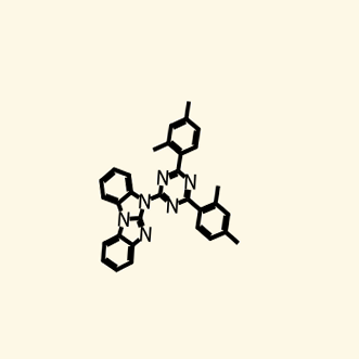 Cc1ccc(-c2nc(-c3ccc(C)cc3C)nc(-n3c4ccccc4n4c5ccccc5nc34)n2)c(C)c1